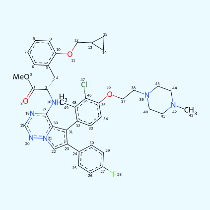 COC(=O)[C@H](Cc1ccccc1OCC1CC1)Nc1ncnn2cc(-c3ccc(F)cc3)c(-c3ccc(OCCN4CCN(C)CC4)c(Cl)c3C)c12